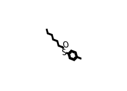 CCCCCCC(=O)Sc1ccc(C)cc1